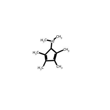 CC1=C(C)[CH]([Hf]([CH3])[CH3])C(C)=C1C